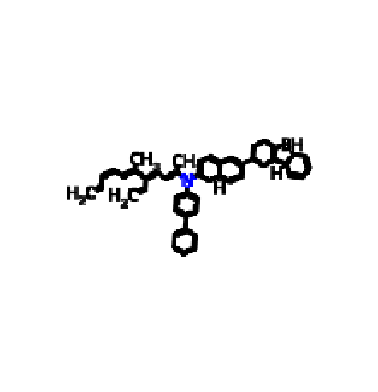 C=C\C=C/C=C(C)/C(C=C)=C/C=C(\C)N(C1=CC=C2C=C([C@H]3CCC4=C(C3)[C@@H]3C=CC=CC3B4)C=C[C@@H]2C1)c1ccc(C2=CCCC=C2)cc1